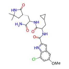 COc1cc(Cl)c2[nH]c(C(=O)NC(CC3CC3)C(=O)NC(C[C@@H]3CC(C)(C)NC3=O)C(N)=O)cc2c1